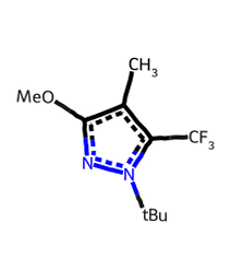 COc1nn(C(C)(C)C)c(C(F)(F)F)c1C